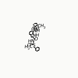 Cc1ccsc1S(=O)(=O)Nc1cccc2cc(C(=O)NCC(C)(C=O)SCc3ccccc3)[nH]c12